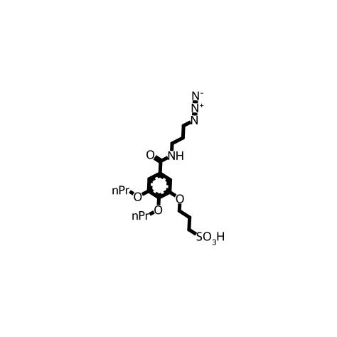 CCCOc1cc(C(=O)NCCCN=[N+]=[N-])cc(OCCCS(=O)(=O)O)c1OCCC